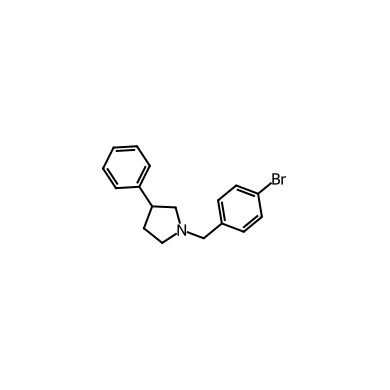 Brc1ccc(CN2CCC(c3ccccc3)C2)cc1